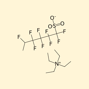 CC(F)C(F)(F)C(F)(F)C(F)(F)C(F)(F)S(=O)(=O)[O-].CC[N+](CC)(CC)CC